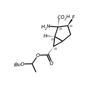 CC(C)COC(C)OC(=O)[C@H]1C2C[C@H](F)[C@@](N)(C(=O)O)[C@@H]21